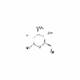 CO[C@H]1[C@H](O)[C@@H](CO)OC(O)[C@@H]1F